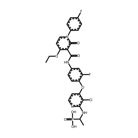 CCOc1ccn(-c2ccc(F)cc2)c(=O)c1C(=O)Nc1ccc(Oc2ccnc(NC(C)P(=O)(O)O)c2Cl)c(F)c1